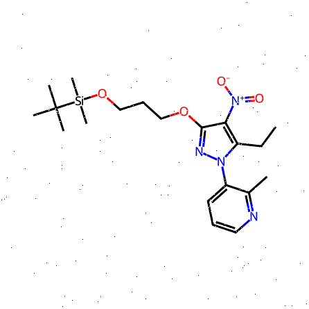 CCc1c([N+](=O)[O-])c(OCCCO[Si](C)(C)C(C)(C)C)nn1-c1cccnc1C